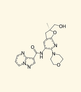 C[C@@]1(CO)Cc2cc(NC(=O)c3cnn4cccnc34)c(N3CCOCC3)nc2O1